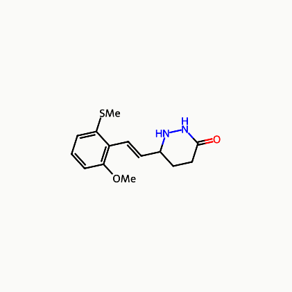 COc1cccc(SC)c1/C=C/C1CCC(=O)NN1